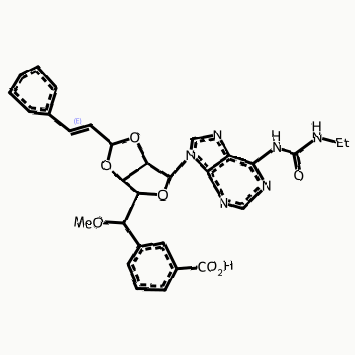 CCNC(=O)Nc1ncnc2c1ncn2C1OC(C(OC)c2cccc(C(=O)O)c2)C2OC(/C=C/c3ccccc3)OC21